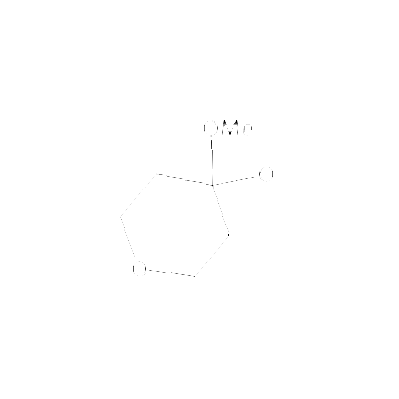 COC1([O])CCOCC1